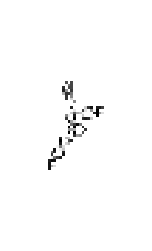 Fc1ccc(OCC2CCCC(OC(CCn3ccnc3)c3ccc(F)cc3)O2)cc1